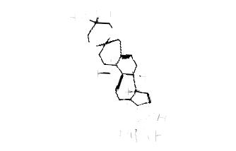 CC1(C)COC2(CC[C@@]3(CI)C(=CC[C@@H]4C3=CC[C@]3(C)[C@@H](O[Si](C)(C)C(C)(C)C)CC[C@@H]43)C2)OC1